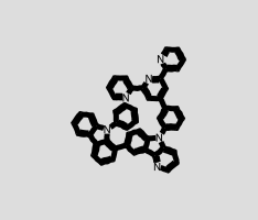 c1ccc(-n2c3ccccc3c3cccc(-c4ccc5c(c4)c4ncccc4n5-c4cccc(-c5cc(-c6ccccn6)nc(-c6ccccn6)c5)c4)c32)cc1